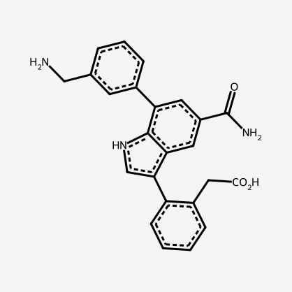 NCc1cccc(-c2cc(C(N)=O)cc3c(-c4ccccc4CC(=O)O)c[nH]c23)c1